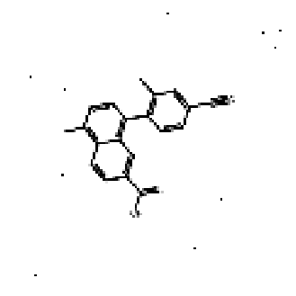 Cc1cc(C#N)ccc1-c1ccc(F)c2ccc(C(=O)O)cc12